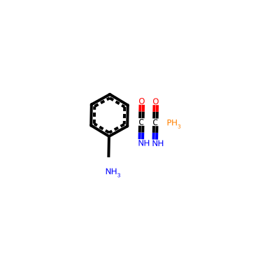 Cc1ccccc1.N.N=C=O.N=C=O.P